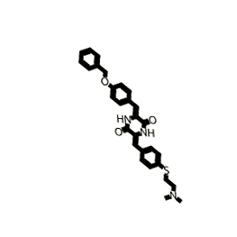 CN(C)CCSc1ccc(C=c2[nH]c(=O)c(=Cc3ccc(OCc4ccccc4)cc3)[nH]c2=O)cc1